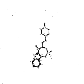 CN1CCN(CCC2C[N+](C)([O-])Cn3c(nc4ccccc43)N2C)CC1